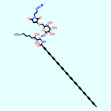 CC#CC#CC#CC#CC#CC#CC#CC#CC#CC#CC#CC#CC(=O)N[C@@H](CO[C@H]1OC(CSC2=CC(=O)N(CCN=[N+]=[N-])C2=O)[C@H](O)[C@H](O)C1O)[C@H](O)[C@H](O)CCCCCCCCCCCCCC